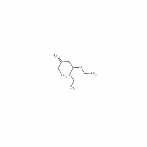 C=C(CC)CC(OCC)OCC